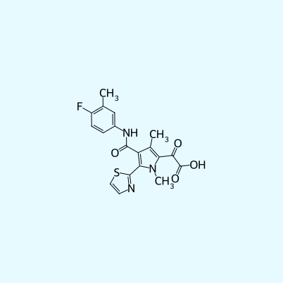 Cc1cc(NC(=O)c2c(C)c(C(=O)C(=O)O)n(C)c2-c2nccs2)ccc1F